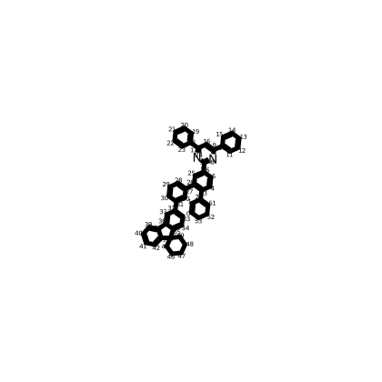 C1=CC(c2ccc(-c3nc(-c4ccccc4)cc(-c4ccccc4)n3)cc2-c2cccc(-c3ccc4c(c3)-c3ccccc3C43CCCCC3)c2)=CCC1